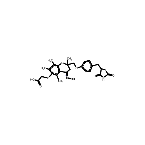 Cc1c(C)c2c(c(C)c1OCC(=O)O)/C(=N/O)CC(C)(COc1ccc(CC3SC(=O)NC3=O)cc1)O2